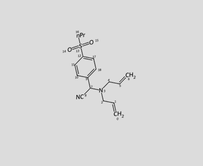 C=CCN(CC=C)C(C#N)c1ccc(S(=O)(=O)CCC)cc1